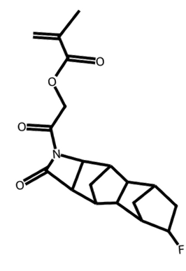 C=C(C)C(=O)OCC(=O)N1C(=O)C2C3CC(C4C5CC(F)C(C5)C34)C21